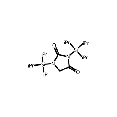 CC(C)[Si](C(C)C)(C(C)C)N1CC(=O)N([Si](C(C)C)(C(C)C)C(C)C)C1=O